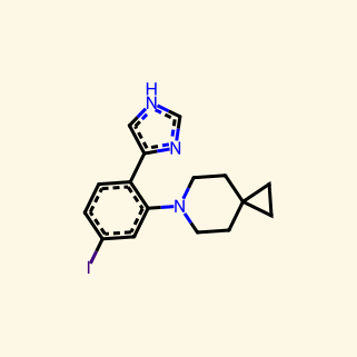 Ic1ccc(-c2c[nH]cn2)c(N2CCC3(CC2)CC3)c1